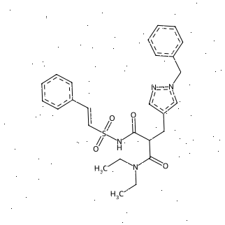 CCN(CC)C(=O)C(Cc1cnn(Cc2ccccc2)c1)C(=O)NS(=O)(=O)C=Cc1ccccc1